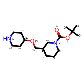 CC(C)(C)OC(=O)N1CCCC(COC2CCNCC2)C1